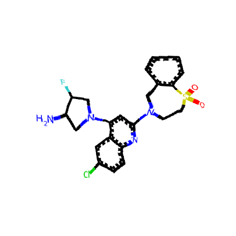 NC1CN(c2cc(N3CCS(=O)(=O)c4ccccc4C3)nc3ccc(Cl)cc23)CC1F